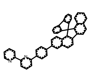 c1ccc(-c2cccc(-c3ccc(-c4ccc5c6c(ccc5c4)-c4ccc5ccccc5c4C64c5ccccc5-c5ccccc54)cc3)n2)nc1